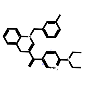 C=C(C1=CN(Cc2cccc(C)c2)c2ccccc2C1)C(/C=C\C(=C)N(CC)CC)=C/N